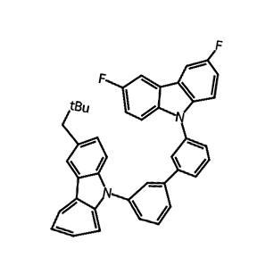 CC(C)(C)Cc1ccc2c(c1)c1ccccc1n2-c1cccc(-c2cccc(-n3c4ccc(F)cc4c4cc(F)ccc43)c2)c1